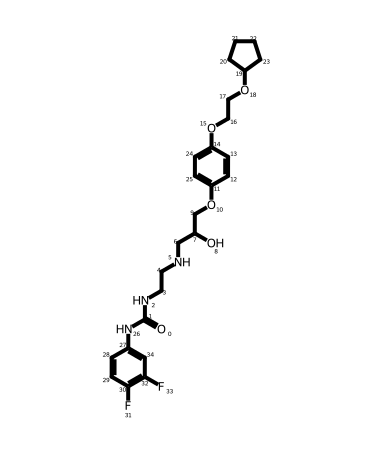 O=C(NCCNCC(O)COc1ccc(OCCOC2CCCC2)cc1)Nc1ccc(F)c(F)c1